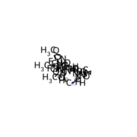 CC[C@@H]1O[C@@H]2C=C([C@H]1NC(=O)OC(C)(C)C(C)(F)F)N1C[C@H](Oc3nc4cc(OC)ccc4nc3C(F)(F)F)C[C@H]1C(=O)N[C@]1(C(=O)NS(=O)(=O)C3(C)CC3)C[C@H]1/C=C\CC2